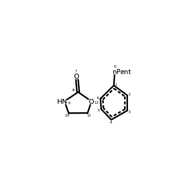 CCCCCc1ccccc1.O=C1NCCO1